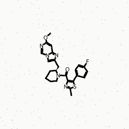 COc1cc2nc(C[C@@H]3CCCCN3C(=O)c3nc(C)sc3-c3ccc(F)cc3)cn2cn1